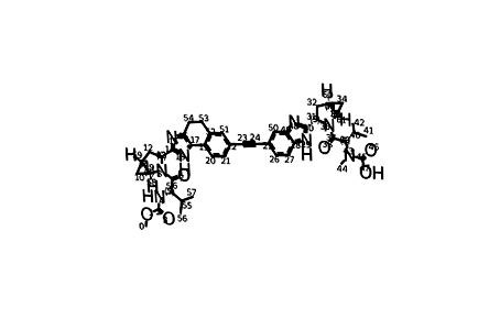 COC(=O)N[C@H](C(=O)N1[C@@H]2C[C@@H]2C[C@H]1c1nc2c([nH]1)-c1ccc(C#Cc3ccc4[nH]c([C@@H]5C[C@H]6C[C@H]6N5C(=O)[C@H](C(C)C)N(C)C(=O)O)nc4c3)cc1CC2)C(C)C